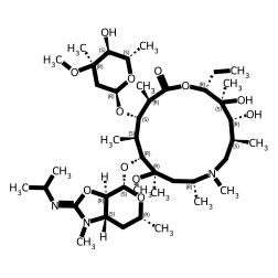 CC[C@H]1OC(=O)[C@H](C)[C@@H](O[C@H]2C[C@@](C)(OC)[C@@H](O)[C@H](C)O2)[C@H](C)[C@@H](O[C@@H]2O[C@H](C)C[C@H]3[C@H]2OC(=NC(C)C)N3C)[C@](C)(OC)C[C@@H](C)N(C)C[C@H](C)[C@@H](O)[C@]1(C)O